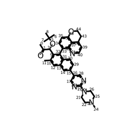 CC(=O)[C@@H](OC(C)(C)C)c1c(C)cc2cc(-c3cnc(N4CCN(C)CC4)nc3)ccc2c1-c1ccc2c3c(ccnc13)CCO2